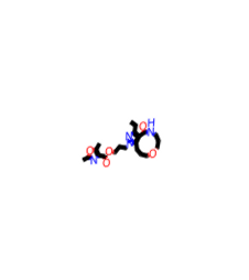 CCc1nn(CCCOC(=O)c2nc(C)oc2C)c2c1C(=O)NCCCOCCC2